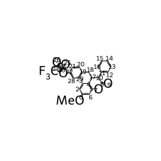 COc1ccc2c(c1)OC(=O)C(c1ccccc1)C2Cc1ccc(OS(=O)(=O)C(F)(F)F)cc1